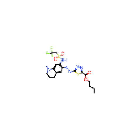 CCCCOC(=O)c1nnc(N=Nc2cc3c(cc2NS(=O)(=O)CC(F)(F)F)N(C)CCC3)s1